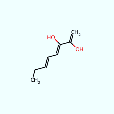 C=C(O)/C(O)=C/C=C/CC